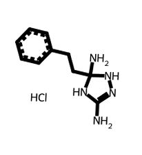 Cl.NC1=NNC(N)(CCc2ccccc2)N1